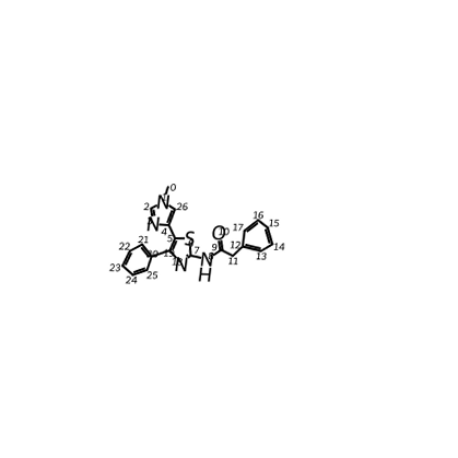 Cn1cnc(-c2sc(NC(=O)Cc3ccccc3)nc2-c2ccccc2)c1